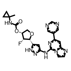 CC1(NC(=O)O[C@@H]2CO[C@H](c3cc(Nc4nc(-c5cncnc5)cc5nccn45)n[nH]3)[C@@H]2F)CC1